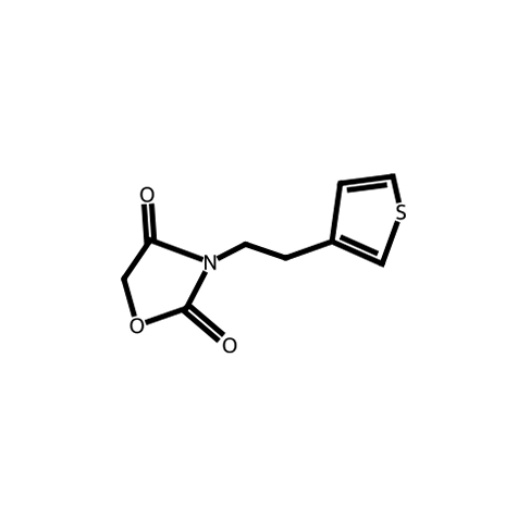 O=C1COC(=O)N1CCc1ccsc1